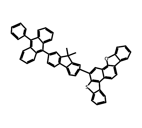 CC1(C)c2cc(-c3c4ccccc4c(-c4ccccc4)c4ccccc34)ccc2-c2ccc(-c3cc4c(ccc5c6ccccc6oc54)c4c3sc3ccccc34)cc21